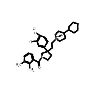 Cc1cccc(C(=O)N2CCC(CC[N+]34CCC(C5CCCCC5)(CC3)CC4)(c3ccc(Cl)c(Cl)c3)C2)c1C.[Cl-]